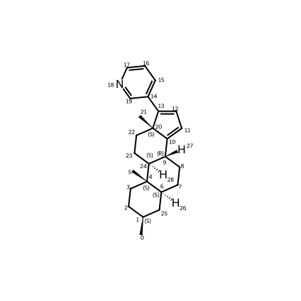 C[C@H]1CC[C@@]2(C)[C@@H](CC[C@H]3C4=CC=C(c5cccnc5)[C@@]4(C)CC[C@@H]32)C1